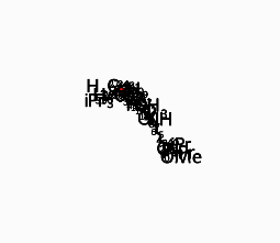 COP(OCCCCCCNC(=O)O[C@H]1CC[C@@]2(C)C(=CC[C@H]3[C@@H]4CC[C@H]([C@H](C)CCCC(C)C)[C@@]4(C)CC[C@@H]32)C1)N(C(C)C)C(C)C